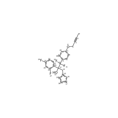 CC#CCOc1ccc(C(F)(F)C(O)(Cn2cnnn2)c2ccc(F)cc2F)nc1